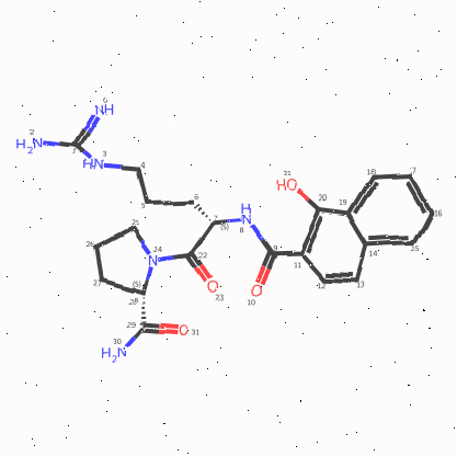 N=C(N)NCCC[C@H](NC(=O)c1ccc2ccccc2c1O)C(=O)N1CCC[C@H]1C(N)=O